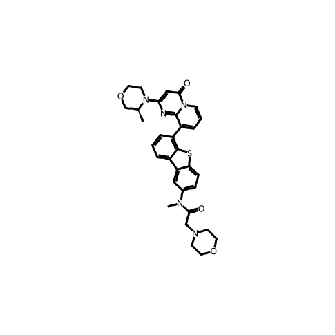 C[C@H]1COCCN1c1cc(=O)n2cccc(-c3cccc4c3sc3ccc(N(C)C(=O)CN5CCOCC5)cc34)c2n1